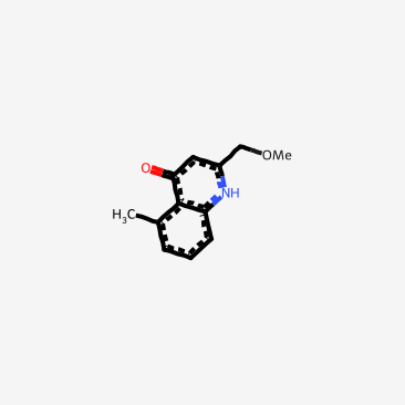 COCc1cc(=O)c2c(C)cccc2[nH]1